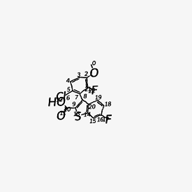 COc1ccc(Cl)c(-c2c(C(=O)O)sc3cc(F)ccc23)c1F